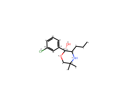 CCCC1NC(C)(C)CO[C@@]1(O)c1cccc(Cl)c1